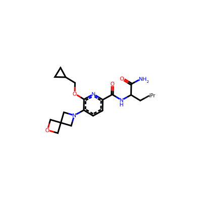 CC(C)CC(NC(=O)c1ccc(N2CC3(COC3)C2)c(OCC2CC2)n1)C(N)=O